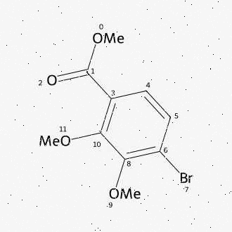 COC(=O)c1ccc(Br)c(OC)c1OC